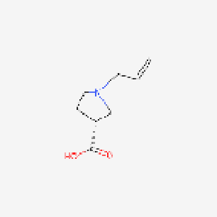 C=CCN1CC[C@@H](C(=O)O)C1